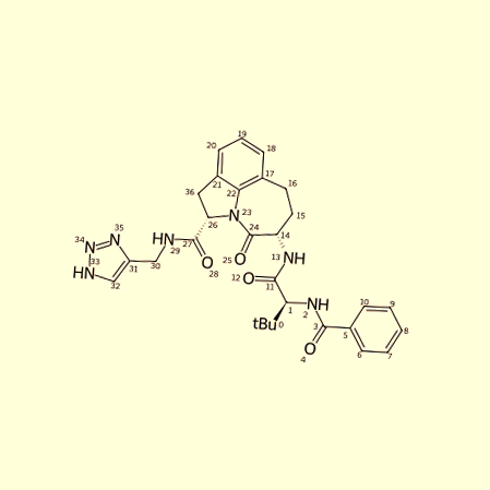 CC(C)(C)[C@H](NC(=O)c1ccccc1)C(=O)N[C@H]1CCc2cccc3c2N(C1=O)[C@H](C(=O)NCc1c[nH]nn1)C3